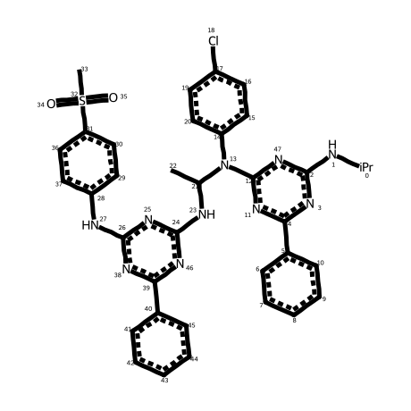 CC(C)Nc1nc(-c2ccccc2)nc(N(c2ccc(Cl)cc2)C(C)Nc2nc(Nc3ccc(S(C)(=O)=O)cc3)nc(-c3ccccc3)n2)n1